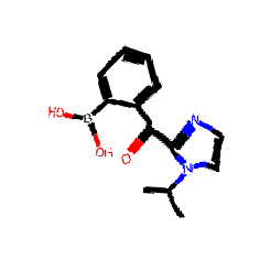 CC(C)n1ccnc1C(=O)c1ccccc1B(O)O